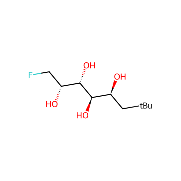 CC(C)(C)C[C@H](O)[C@@H](O)[C@@H](O)[C@H](O)CF